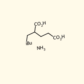 CCC(C)CC(CCC(=O)O)C(=O)O.N